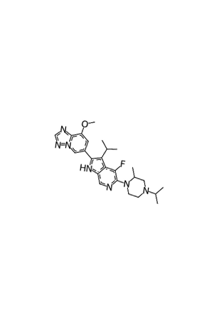 COc1cc(-c2[nH]c3cnc(N4CCN(C(C)C)CC4C)c(F)c3c2C(C)C)cn2ncnc12